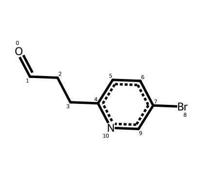 O=CCCc1ccc(Br)cn1